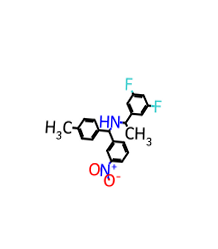 Cc1ccc(C(NC(C)c2cc(F)cc(F)c2)c2cccc([N+](=O)[O-])c2)cc1